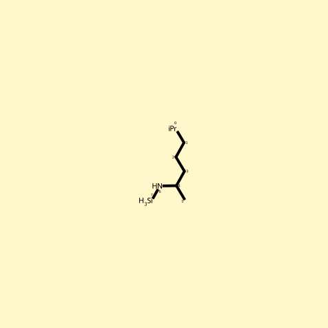 CC(C)CCCC(C)N[SiH3]